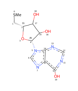 CSC[C@H]1O[C@@H](n2cnc3c(O)ncnc32)C(O)C1O